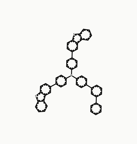 c1ccc(-c2cccc(-c3ccc(N(c4ccc(-c5ccc6sc7ccccc7c6c5)cc4)c4ccc(-c5ccc6sc7ccccc7c6c5)cc4)cc3)c2)cc1